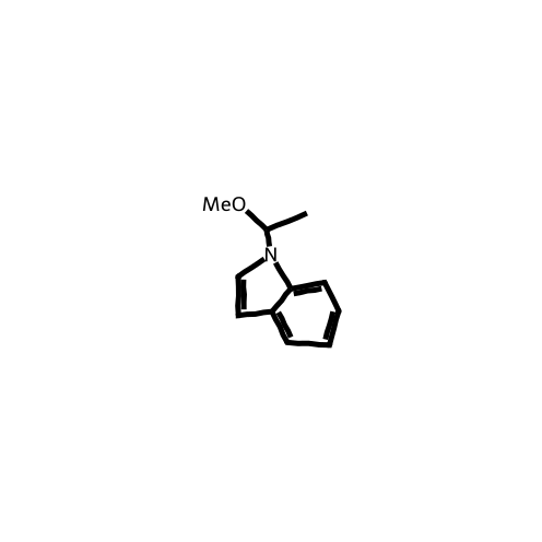 COC(C)n1ccc2ccccc21